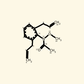 C=CCc1cccc(CC=C)c1N(OC)C(C)=O